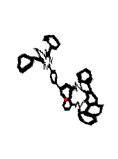 c1ccc(-c2nc(-c3ccccc3)nc(-c3ccc(-c4cccc(-n5c6ccccc6c6cc7c8c9c(cccc9n(-c9ccccc9)c8c65)CC7)c4)cc3)n2)cc1